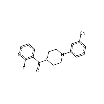 N#Cc1cccc(N2CCN(C(=O)c3cccnc3F)CC2)c1